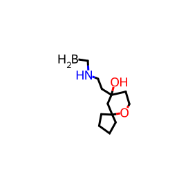 BCNCCC1(O)CCOC2(CCCC2)C1